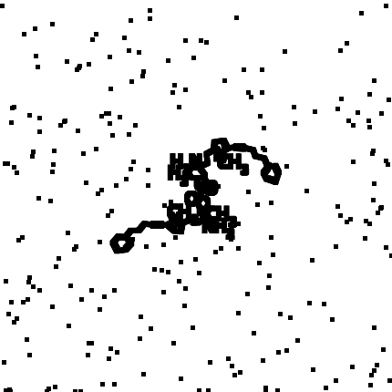 Cn1c(C#CCCCc2ccccc2)ccc1CC[C@@](C)(N)COC(=O)C(=O)OC[C@](C)(N)CCc1ccc(C#CCCCc2ccccc2)n1C